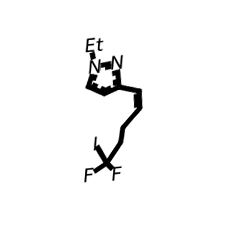 CCn1ccc(/C=C\CCC(F)(F)I)n1